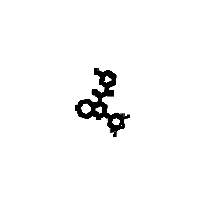 C[C@@H]1CN(c2cc(C(=O)Nc3cccc(F)n3)c3c(n2)CCOCC3)C[C@H](C)O1